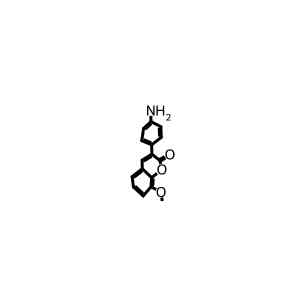 COc1cccc2cc(-c3ccc(N)cc3)c(=O)oc12